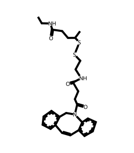 CCNC(=O)CCC(C)SSCCNC(=O)CCC(=O)N1Cc2ccccc2/C=C\c2ccccc21